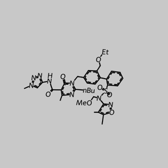 CCCCc1nc(C)c(C(=O)Nc2cn(C)nn2)c(=O)n1Cc1ccc(-c2ccccc2S(=O)(=O)N(COC)c2noc(C)c2C)c(COCC)c1